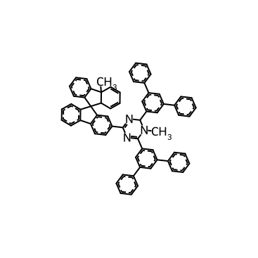 CN1C(c2cc(-c3ccccc3)cc(-c3ccccc3)c2)=NC(c2ccc3c(c2)C2(c4ccccc4-3)c3ccccc3C3(C)C=CC=CC32)=NC1c1cc(-c2ccccc2)cc(-c2ccccc2)c1